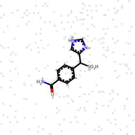 NC(=O)c1ccc(C(c2c[nH]cn2)S(=O)(=O)O)cc1